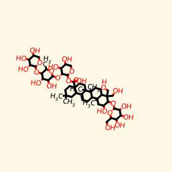 CC1OC(OC2C(OC(=O)C34CCC(C)(C)CC3C3=CCC5C6(C)CC(O)C(OC7OC(CO)C(O)C(O)C7O)C(CO)(CO)C6CCC5(C)C3(C)CC4O)OCC(O)C2O)C(O)C(O)C1OC1OCC(O)C(O)C1O